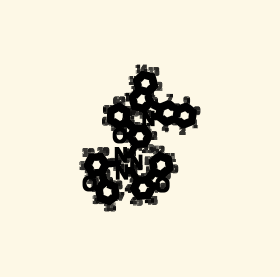 c1ccc2cc3c(cc2c1)c1c2ccccc2ccc1n3-c1ccc(-c2nc(-c3cccc4oc5ccccc5c34)nc(-c3cccc4oc5ccccc5c34)n2)c2oc3ccccc3c12